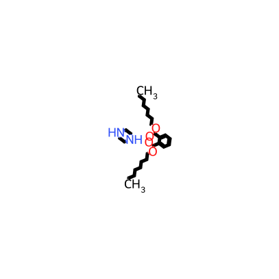 C1CNCCN1.CCCCCCCCOC(=O)c1ccccc1C(=O)OCCCCCCCC